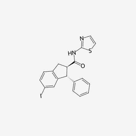 O=C(Nc1nccs1)[C@@H]1Cc2ccc(I)cc2[C@H]1c1ccccc1